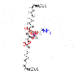 CCCCCCCC/C=C\CCCCCCCC(=O)OCC(COC(=O)CCCCCCC/C=C\CCCCCCCC)OP(C)(=O)OCCN